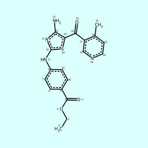 CCOC(=O)c1ccc(Nc2nc(N)c(C(=O)c3cnccc3C)s2)cc1